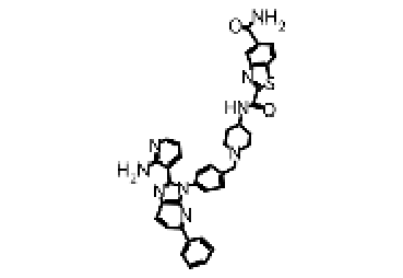 NC(=O)c1ccc2sc(C(=O)NC3CCN(Cc4ccc(-n5c(-c6cccnc6N)nc6ccc(-c7ccccc7)nc65)cc4)CC3)nc2c1